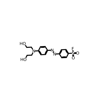 O=S(=O)(F)c1ccc(N=Nc2ccc(N(CCO)CCO)cc2)cc1